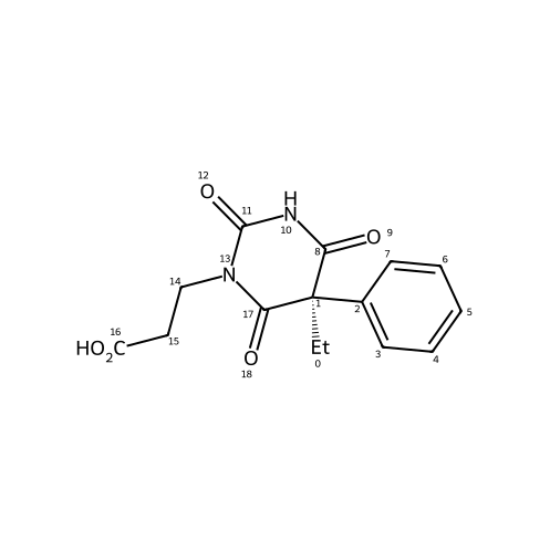 CC[C@@]1(c2ccccc2)C(=O)NC(=O)N(CCC(=O)O)C1=O